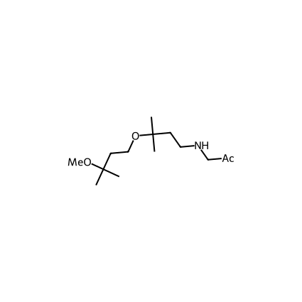 COC(C)(C)CCOC(C)(C)CCNCC(C)=O